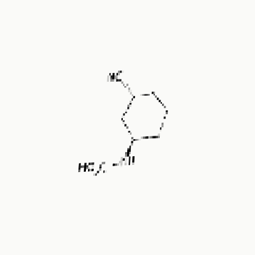 N#C[C@@H]1CCC[C@@H](NC(=O)O)C1